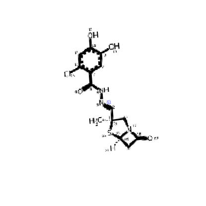 C[C@]1(/C=N/NC(=O)c2cc(O)c(O)cc2Cl)CN2C(=O)C[C@H]2S1